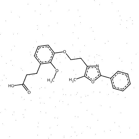 COc1c(CCC(=O)O)cccc1OCCc1nc(-c2ccccc2)oc1C